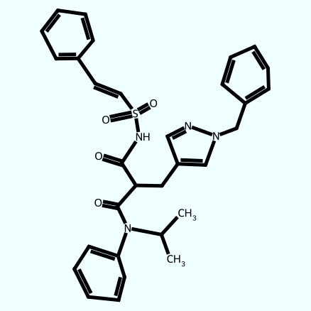 CC(C)N(C(=O)C(Cc1cnn(Cc2ccccc2)c1)C(=O)NS(=O)(=O)C=Cc1ccccc1)c1ccccc1